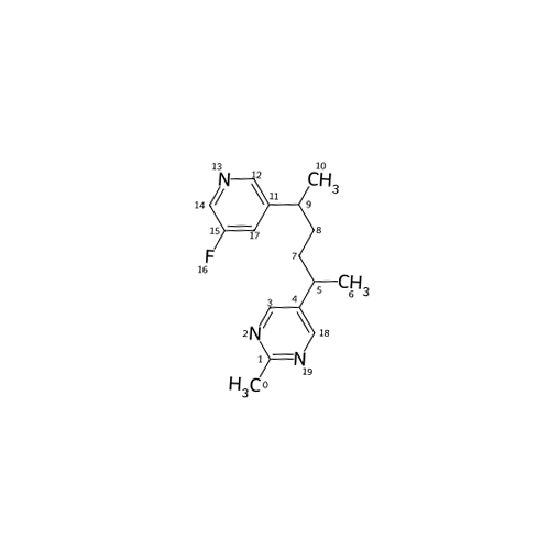 Cc1ncc(C(C)CCC(C)c2cncc(F)c2)cn1